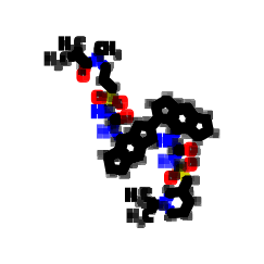 CC(C)C(=O)N(C)CCCS(=O)(=O)NC(=O)Nc1c2c(cc3c1CC(C1CCc4cc5c(c(NC(=O)NS(=O)(=O)CC6CCCN(C(C)C)C6)c41)CCC5)C3)CCC2